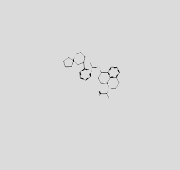 CC(C(=O)O)N1CCc2cccc3c2C1CCC3NCC[C@@]1(c2ccccn2)CCOC2(CCCC2)C1